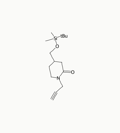 C#CCN1CCC(CO[Si](C)(C)C(C)(C)C)CC1=O